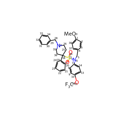 COc1ccc(CN(c2ccc(OC(F)(F)F)cc2)S(=O)(=O)C2(c3ccccc3)CCN(Cc3ccccc3)CC2)cc1